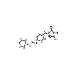 O=C1NC(=O)C(=Cc2ccc(OCCc3ccccc3)cc2)S1